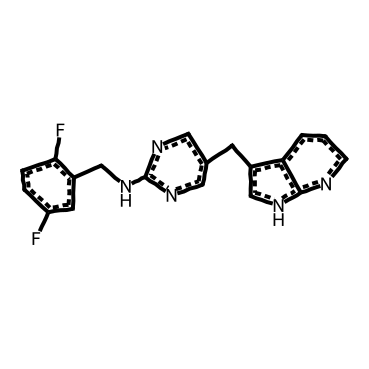 Fc1ccc(F)c(CNc2ncc(Cc3c[nH]c4ncccc34)cn2)c1